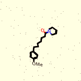 COc1ccc(CCCCCCC(=O)N2CC=CCC2)cc1